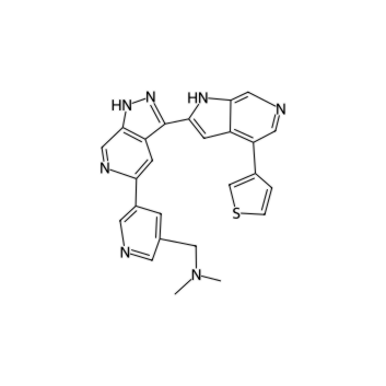 CN(C)Cc1cncc(-c2cc3c(-c4cc5c(-c6ccsc6)cncc5[nH]4)n[nH]c3cn2)c1